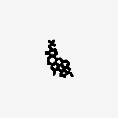 CCn1cc(-c2cc3c(cc2F)SC[C@H](NC(=O)OC(C)(C)C)C(=O)N3Cc2ccc(F)cc2)nn1